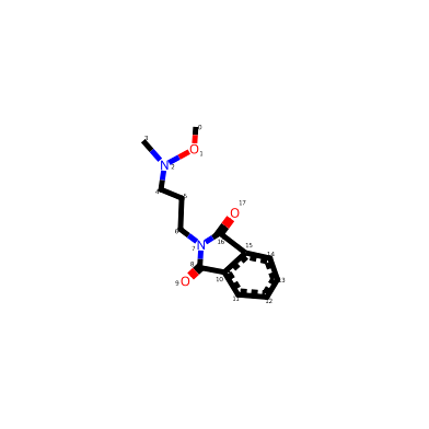 CON(C)CCCN1C(=O)c2ccccc2C1=O